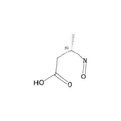 C[C@@H](CC(=O)O)N=O